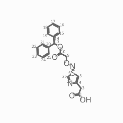 O=C(O)CC1=CS(=NOCC(=O)OC(c2ccccc2)c2ccccc2)C=N1